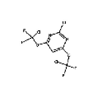 FC(F)(Cl)Oc1cc(OC(F)(F)Cl)nc(Cl)n1